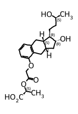 C[C@H](O)CC[C@@H]1[C@H]2Cc3cccc(OCC(=O)O[C@@H](C)C(=O)O)c3C[C@H]2C[C@H]1O